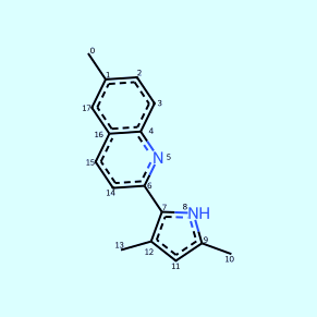 Cc1ccc2nc(-c3[nH]c(C)cc3C)ccc2c1